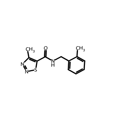 Cc1ccccc1CNC(=O)c1snnc1C